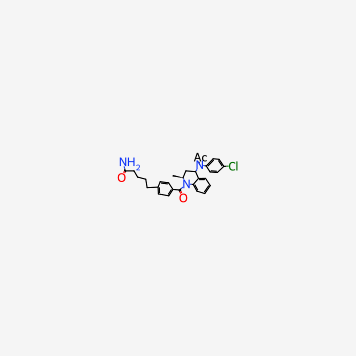 CC(=O)N(c1ccc(Cl)cc1)[C@@H]1C[C@H](C)N(C(=O)c2ccc(CCCCC(N)=O)cc2)c2ccccc21